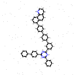 c1ccc(-c2ccc(-c3nc(-c4ccccc4)nc(-c4cccc(-c5ccc(-c6ccc(-c7cccc8c7ccc7cccnc78)cc6)cc5)c4)n3)cc2)cc1